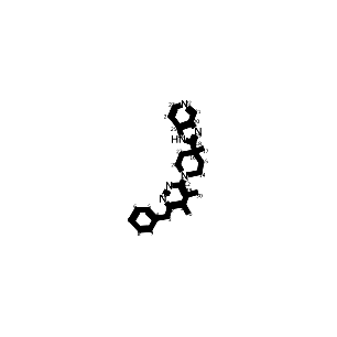 Cc1c(Cc2ccccc2)nnc(N2CCC(C)(c3nc4cnccc4[nH]3)CC2)c1C